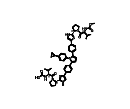 COC(=O)N[C@H](C(=O)N1CCC[C@H]1c1nc(-c2ccc(-c3ccc(-c4ccc(-c5c[nH]c([C@@H]6CCCN6C(=O)[C@@H](NC(=O)O)C(C)C)n5)cc4)n3-c3ccc(C4CC4)cc3)cc2)c[nH]1)C(C)C